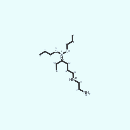 CCCO[SiH](OCCC)C(CC)CCCNCCN